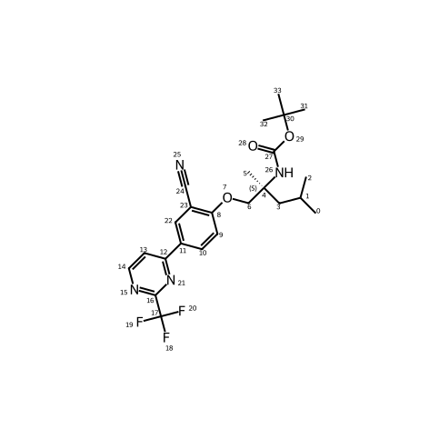 CC(C)C[C@@](C)(COc1ccc(-c2ccnc(C(F)(F)F)n2)cc1C#N)NC(=O)OC(C)(C)C